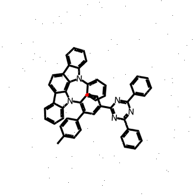 Cc1ccc(-c2cc(-c3nc(-c4ccccc4)nc(-c4ccccc4)n3)ccc2-n2c3ccccc3c3ccc4c5ccccc5n(-c5ccccc5)c4c32)cc1